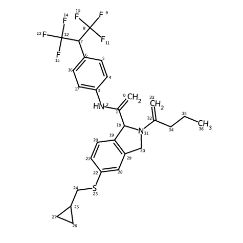 C=C(Nc1ccc(C(C(F)(F)F)C(F)(F)F)cc1)C1c2ccc(SCC3CC3)cc2CN1C(=C)CCC